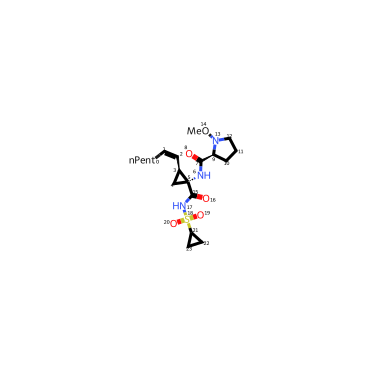 CCCCC/C=C\[C@@H]1C[C@]1(NC(=O)[C@@H]1CCCN1OC)C(=O)NS(=O)(=O)C1CC1